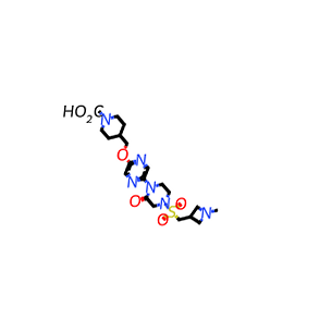 CN1CC(CS(=O)(=O)N2CCN(c3cnc(OCC4CCN(C(=O)O)CC4)cn3)C(=O)C2)C1